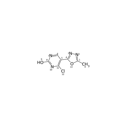 Cc1nnc(-c2cnc(O)nc2Cl)o1